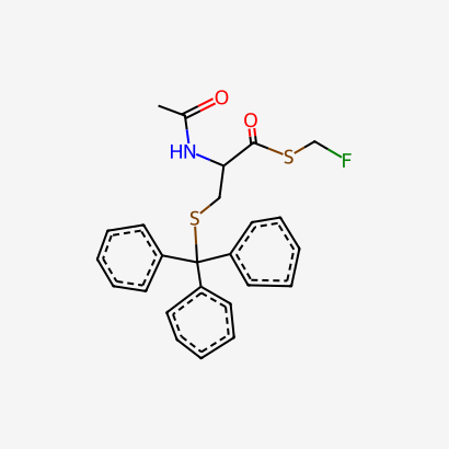 CC(=O)NC(CSC(c1ccccc1)(c1ccccc1)c1ccccc1)C(=O)SCF